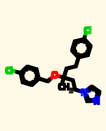 CC(CCc1ccc(Cl)cc1)(CCn1ccnc1)OCc1ccc(Cl)cc1